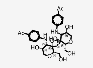 CC(=O)c1ccc(N[C@H]2[C@@H](O)CO[C@H](CO)[C@]2(O)S[C@@]2(O)[C@@H](CO)OC[C@H](O)[C@@H]2Nc2ccc(C(C)=O)cc2)cc1